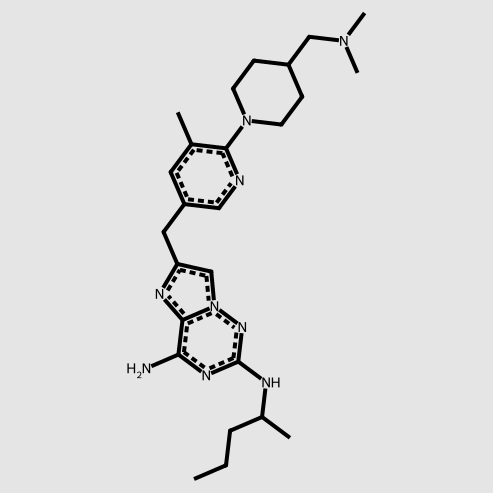 CCCC(C)Nc1nc(N)c2nc(Cc3cnc(N4CCC(CN(C)C)CC4)c(C)c3)cn2n1